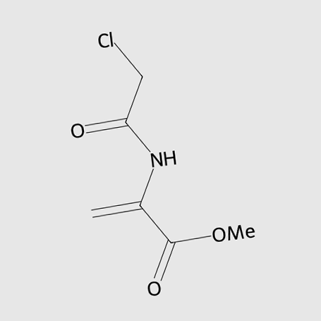 C=C(NC(=O)CCl)C(=O)OC